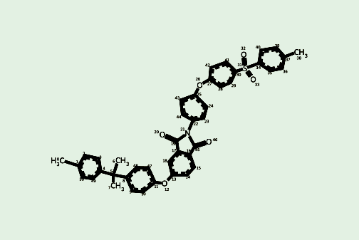 Cc1ccc(C(C)(C)c2ccc(Oc3ccc4c(c3)C(=O)N(c3ccc(Oc5ccc(S(=O)(=O)c6ccc(C)cc6)cc5)cc3)C4=O)cc2)cc1